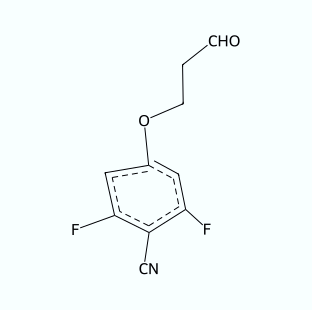 N#Cc1c(F)cc(OCCC=O)cc1F